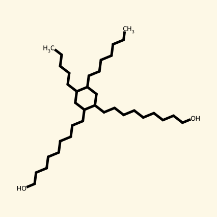 CCCCCCCC1CC(CCCCCCCCCO)C(CCCCCCCCCO)CC1CCCCC